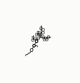 C=C(C)C(=O)OCC(COC(=O)CC(=O)OCC)(COC(=O)CC(=O)OCC)COc1ccc(-c2ccc(C3CCC(CCCCC)CC3)cc2CC)cc1OC(=O)C(=C)C